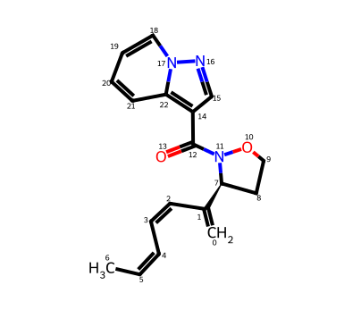 C=C(/C=C\C=C/C)[C@@H]1CCON1C(=O)c1cnn2ccccc12